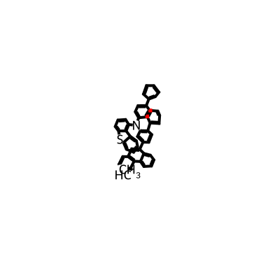 C#Cc1c(/C=C\C)cc(-c2ccc(-c3ccccc3)c(N(c3ccc(-c4ccccc4)cc3)c3cccc4sc5ccccc5c34)c2)c2ccccc12